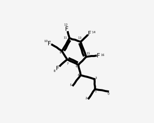 CC(C)CC(C)c1c(F)c(F)c(F)c(F)c1F